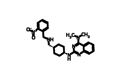 CN(C)c1nc(N[C@H]2CC[C@@H](CNCc3ccccc3[N+](=O)[O-])CC2)nc2ccccc12